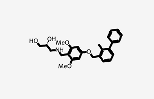 COc1cc(OCc2cccc(-c3ccccc3)c2C)cc(OC)c1CNC[C@@H](O)CO